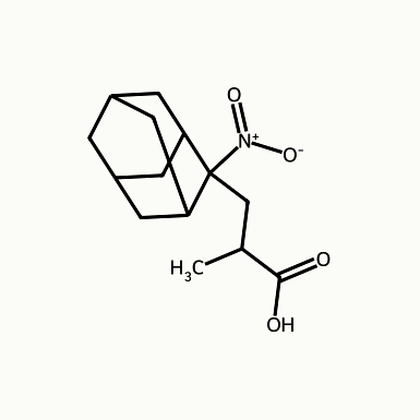 CC(CC1([N+](=O)[O-])C2CC3CC(C2)CC1C3)C(=O)O